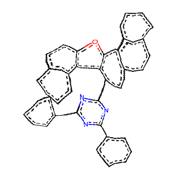 c1ccc(-c2nc(-c3ccccc3)nc(-c3cc4ccc5ccccc5c4c4oc5ccc6ccccc6c5c34)n2)cc1